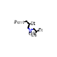 CCCC(C)CC(CC)CN(C)CC(CC)CC